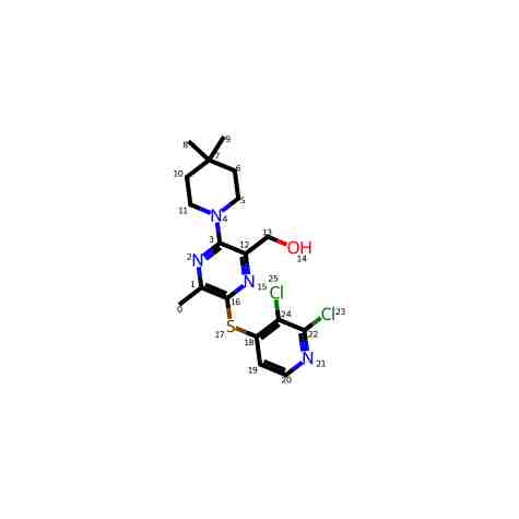 Cc1nc(N2CCC(C)(C)CC2)c(CO)nc1Sc1ccnc(Cl)c1Cl